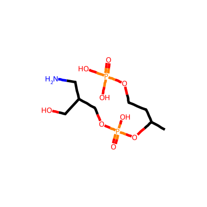 CC(CCOP(=O)(O)O)OP(=O)(O)OCC(CN)CO